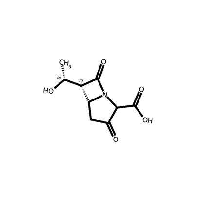 C[C@@H](O)[C@@H]1C(=O)N2C(C(=O)O)C(=O)CC12